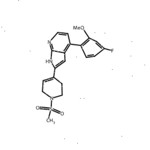 COc1cc(F)ccc1-c1ccnc2[nH]c(C3=CCN(S(C)(=O)=O)CC3)cc12